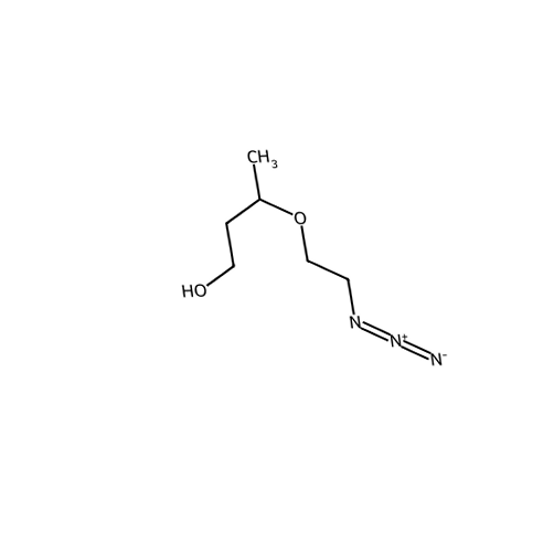 CC(CCO)OCCN=[N+]=[N-]